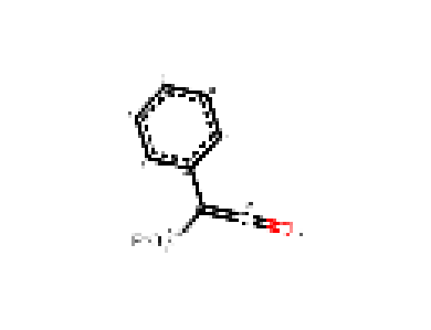 CCOC(=O)C(=C=O)c1ccccc1